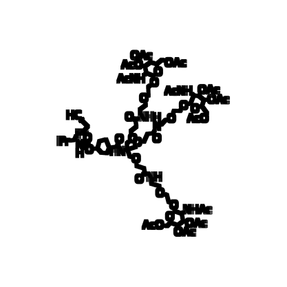 C#CCCOP(NC(C(C)C)C(C)C)OC1CCC(C(=O)NC(COCCC(=O)NCCOCCOC2OC(COC(C)=O)C(OC(C)=O)C(OC(C)=O)C2NC(C)=O)(COCCC(=O)NCCOCCOC2OC(COC(C)=O)C(OC(C)=O)C(OC(C)=O)C2NC(C)=O)COCCC(=O)NCCOCCOC2OC(COC(C)=O)C(OC(C)=O)C(OC(C)=O)C2NC(C)=O)CC1